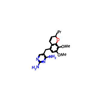 COc1cc(Cc2cnc(N)nc2N)c2c(c1OC)OC(C(C)C)C=C2